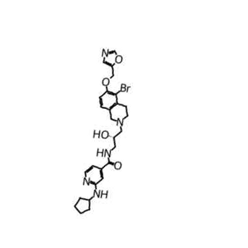 O=C(NC[C@H](O)CN1CCc2c(ccc(OCc3cnco3)c2Br)C1)c1ccnc(NC2CCCC2)c1